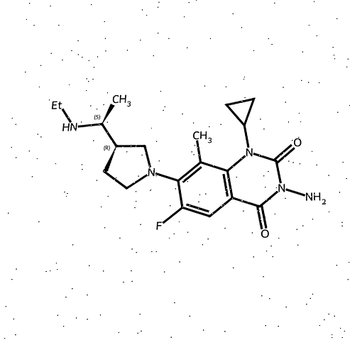 CCN[C@@H](C)[C@@H]1CCN(c2c(F)cc3c(=O)n(N)c(=O)n(C4CC4)c3c2C)C1